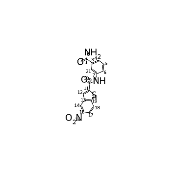 NC(=O)c1cccc(NC(=O)c2cc3cc([N+](=O)[O-])ccc3s2)c1